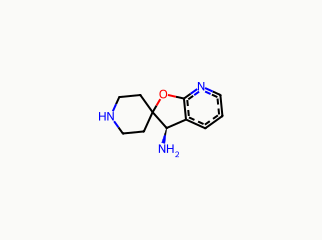 N[C@@H]1c2cccnc2OC12CCNCC2